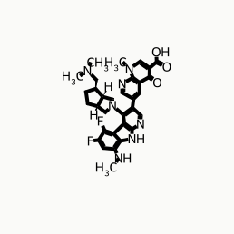 CNc1cc(F)c(F)c2c1[nH]c1ncc(-c3cnc4c(c3)c(=O)c(C(=O)O)cn4C)c(N3C[C@H]4CC[C@@H](CN(C)C)[C@H]4C3)c12